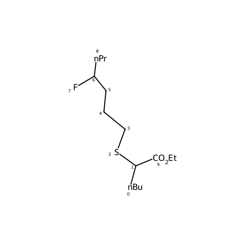 CCCCC(SCCCC(F)CCC)C(=O)OCC